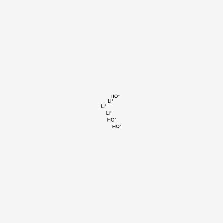 [Li+].[Li+].[Li+].[OH-].[OH-].[OH-]